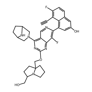 C#Cc1c(F)ccc2cc(O)cc(-c3ncc4c(N5CC6CCC(C5)N6)nc(OCC56CCCN5C(CO)CC6)nc4c3F)c12